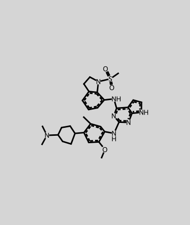 COc1cc(C2CCC(N(C)C)CC2)c(C)cc1Nc1nc(Nc2cccc3c2N(S(C)(=O)=O)CC3)c2cc[nH]c2n1